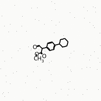 COC(=O)C(C=O)c1ccc(C2CCCCC2)cc1